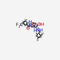 CCC[C@@H](O)[C@H](CNCc1ccc(C)cc1C)NC(=O)CNC(=O)c1cccc(C(F)(F)F)c1